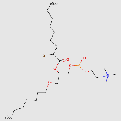 CCCCCCCCCCCCCCCCOCC(COP(O)OCC[N+](C)(C)C)OC(=O)C(Br)CCCCCCCCCCCCCCCC